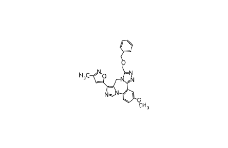 COc1ccc2c(c1)-c1nnc(COCc3ccccc3)n1Cc1c(-c3cc(C)no3)ncn1-2